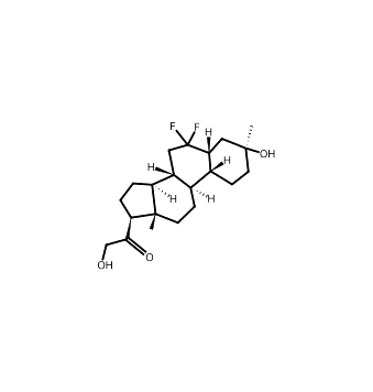 C[C@]1(O)CC[C@@H]2[C@H]3CC[C@]4(C)[C@@H](C(=O)CO)CC[C@H]4[C@@H]3CC(F)(F)[C@@H]2C1